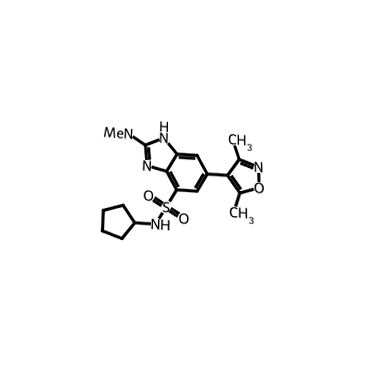 CNc1nc2c(S(=O)(=O)NC3CCCC3)cc(-c3c(C)noc3C)cc2[nH]1